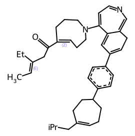 C/C=C(\CC)CC(=O)/C1=C\CCN(C2=CC=NC=C3CC=C(c4ccc(C5CCC=C(CC(C)C)CC5)cc4)C=C32)CCC1